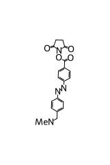 CNCc1ccc(N=Nc2ccc(C(=O)ON3C(=O)CCC3=O)cc2)cc1